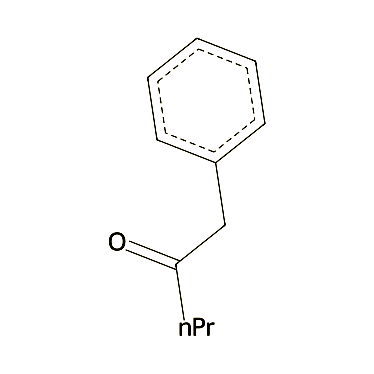 [CH2]CCC(=O)Cc1ccccc1